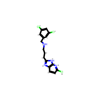 Clc1cc(Cl)cc(CNCCCc2nc3ccc(Cl)nc3[nH]2)c1